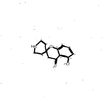 O=C1CC2(CCNCC2)Oc2cccc(Cl)c21